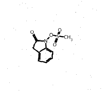 CS(=O)(=O)ON1C(=O)Cc2ccccc21